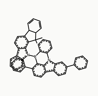 CC1(C)c2c(ccc3c4ccccc4n(B4c5ccccc5-n5c6cc(-c7ccccc7)ccc6c6ccc(-c7ccccc7)c4c65)c23)C2C=CC=CC21